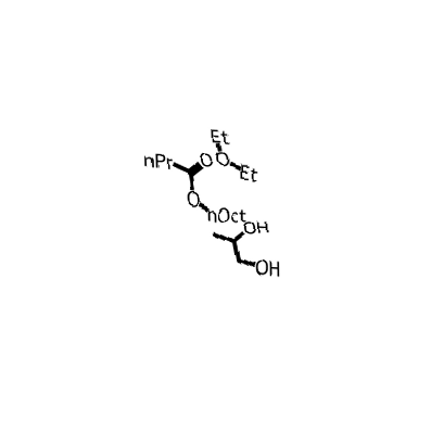 CC(O)CO.CCCCCCCCOC(=O)CCC.CCOCC